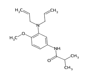 C=CCN(CC=C)c1cc(NC(=O)C(C)C)ccc1OC